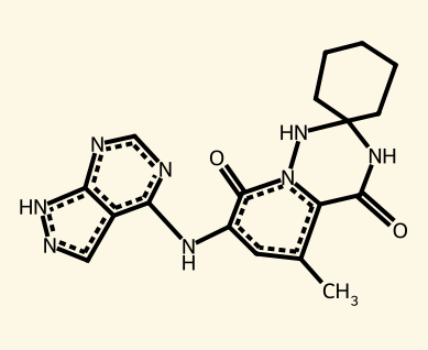 Cc1cc(Nc2ncnc3[nH]ncc23)c(=O)n2c1C(=O)NC1(CCCCC1)N2